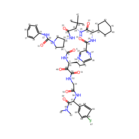 CCC[C@H](NC(=O)[C@@H]1CN(C(=O)Nc2ccccc2)C[C@@H]1NC(=O)[C@@H](NC(=O)[C@@H](NC(=O)c1cnccn1)C1CCCCC1)C(C)(C)C)C(=O)C(=O)NCC(=O)NC(C(=O)N(C)C)c1ccc(F)cc1